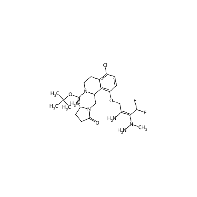 C[C@H]1CCC(=O)N1CC1c2c(OC/C(N)=C(\C(F)F)N(C)N)ccc(Cl)c2CCN1C(=O)OC(C)(C)C